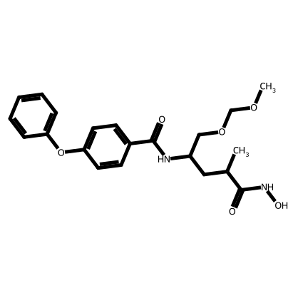 COCOCC(CC(C)C(=O)NO)NC(=O)c1ccc(Oc2ccccc2)cc1